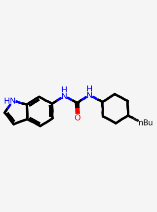 CCCCC1CCC(NC(=O)Nc2ccc3cc[nH]c3c2)CC1